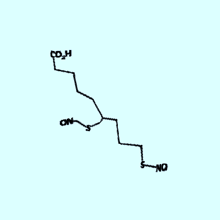 O=NSCCCC(CCCCC(=O)O)SN=O